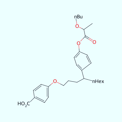 CCCCCCC(CCCOc1ccc(C(=O)O)cc1)c1ccc(OC(=O)C(C)OCCCC)cc1